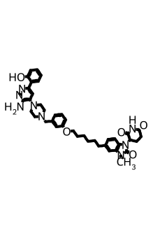 Cn1c(=O)n(C2CCC(=O)NC2=O)c2ccc(CCCCCCOc3cccc(CN4CCN(c5cc(-c6ccccc6O)nnc5N)CC4)c3)cc21